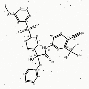 COc1cccc(S(=O)(=O)N2CCC(C(O)(Cc3ccccc3)C(=O)Nc3ccc(C#N)c(C(F)(F)F)c3)CC2)c1